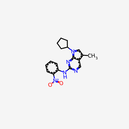 Cc1cn(C2CCCC2)c2nc(Nc3ccccc3[N+](=O)[O-])ncc12